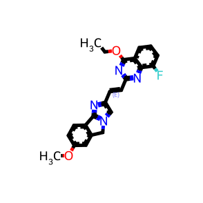 CCOc1nc(/C=C/c2cn3c(n2)-c2ccc(OC)cc2C3)nc2c(F)cccc12